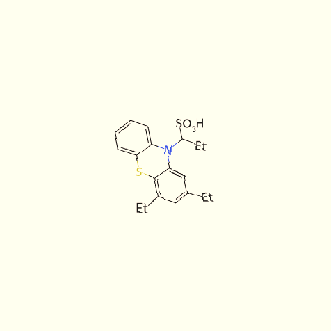 CCc1cc(CC)c2c(c1)N(C(CC)S(=O)(=O)O)c1ccccc1S2